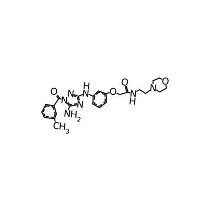 Cc1cccc(C(=O)n2nc(Nc3cccc(OCC(=O)NCCN4CCOCC4)c3)nc2N)c1